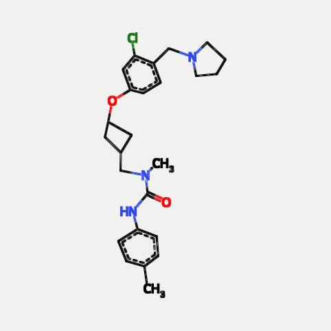 Cc1ccc(NC(=O)N(C)CC2CC(Oc3ccc(CN4CCCC4)c(Cl)c3)C2)cc1